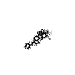 CN(C)[C@H]1C[C@@]23CC[C@@]4(O2)C(=CC[C@]2(C)C(/C=C/c5cccnc5)=CCC24)C(O)C3(F)[C@@H](O)[C@@H]1O